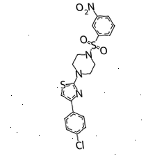 O=[N+]([O-])c1cccc(S(=O)(=O)N2CCN(c3nc(-c4ccc(Cl)cc4)cs3)CC2)c1